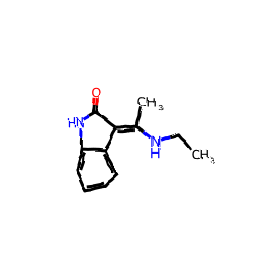 CCNC(C)=C1C(=O)Nc2ccccc21